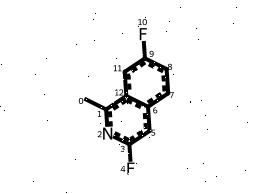 Cc1nc(F)cc2ccc(F)cc12